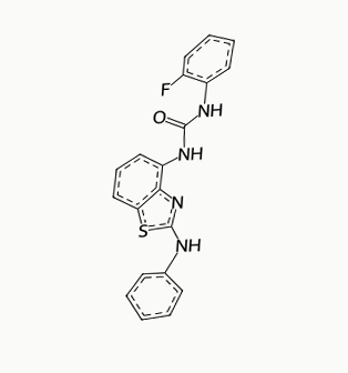 O=C(Nc1ccccc1F)Nc1cccc2sc(Nc3ccccc3)nc12